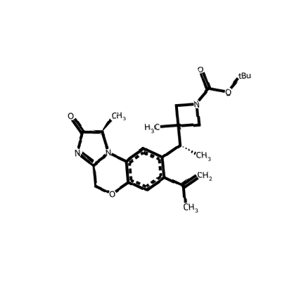 C=C(C)c1cc2c(cc1[C@@H](C)C1(C)CN(C(=O)OC(C)(C)C)C1)N1C(=NC(=O)[C@H]1C)CO2